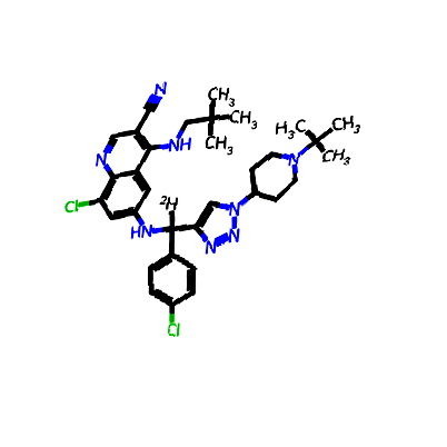 [2H]C(Nc1cc(Cl)c2ncc(C#N)c(NCC(C)(C)C)c2c1)(c1ccc(Cl)cc1)c1cn(C2CCN(C(C)(C)C)CC2)nn1